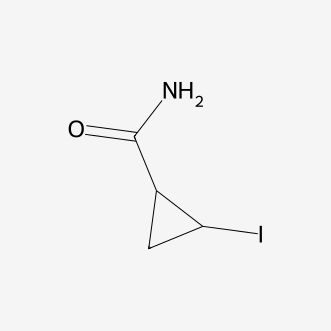 NC(=O)C1CC1I